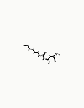 CCCCCCNC(=O)N[C@@H](C)CC(N)=O